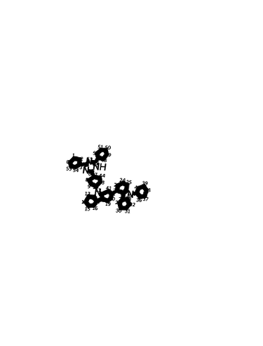 c1ccc(C2=NC(c3ccc(-n4c5ccccc5c5ccc(-c6cccc7c6c6ccccc6n7-c6ccccc6)cc54)cc3)NC(c3ccccc3)=N2)cc1